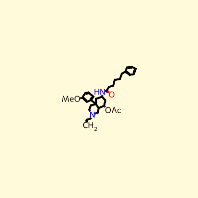 C=CCN1CCC2(c3cccc(OC)c3)CC(NC(=O)CCCCCc3ccccc3)CC(OC(C)=O)C2C1